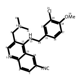 [C-]#[N+]c1ccc2ncc(CN(C)C)c(NCc3ccc(OC)c(Cl)c3)c2c1